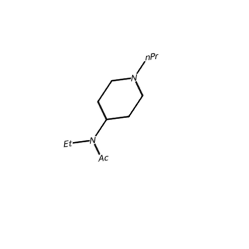 CCCN1CCC(N(CC)C(C)=O)CC1